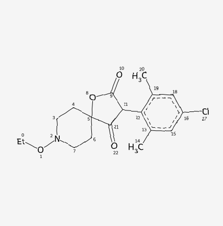 CCON1CCC2(CC1)OC(=O)C(c1c(C)cc(Cl)cc1C)C2=O